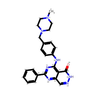 CN1CCN(Cc2ccc(Nc3nc(-c4ccccc4)nc4cn[nH]c(=O)c34)cc2)CC1